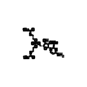 C=C1N=C(N)C=CN1[C@@H]1O[C@H](COP(=O)(OCCSC(=O)C(C)(C)C)OCCSC(=O)C(C)(C)C)[C@@H](O)[C@H]1OC